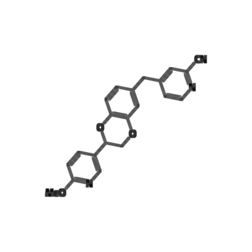 COc1ccc(C2COc3cc(Cc4ccnc(C#N)c4)ccc3O2)cn1